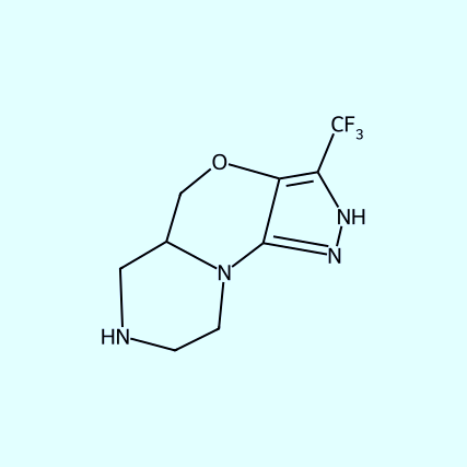 FC(F)(F)c1[nH]nc2c1OCC1CNCCN21